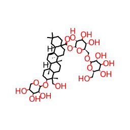 CC1(C)CCC2(C(=O)O[C@H]3O[C@H](COC4O[C@H](CO)[C@@H](O)[C@H](O)[C@H]4O)[C@@H](O)[C@H](O)[C@H]3O)CC[C@]3(C)C(=CC[C@@H]4[C@@]5(C)CC[C@H](OC6OC[C@H](O)[C@H](O)[C@H]6O)[C@@](C)(CO)C5CC[C@]43C)[C@@H]2C1